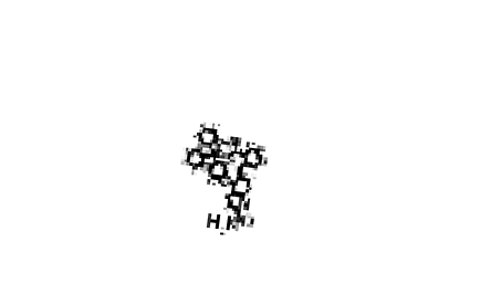 NC(=O)c1ccc2c(n1)CCC(=Cc1ccccc1-c1cn(C(c3ccccc3)(c3ccccc3)c3ccccc3)cn1)C2=O